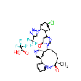 C[C@@H]1CCC[C@H](n2cnc(-c3cc(Cl)ccc3-n3cc(C(F)(F)F)nn3)cc2=O)c2cncc(c2)-c2ccccc2NC1=O.O=C(O)C(F)(F)F